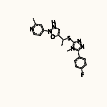 Cc1cc(N2NC=C(C(C)Sc3nnc(-c4ccc(F)cc4)n3C)O2)ccn1